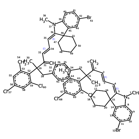 C=C(/C=C/C=C1/N(C)c2ccc(Br)cc2C12CCCCC2)C(C)(Cc1ccc(CC(C)(C(=C)/C=C/C=C2/N(C)c3ccc(Br)cc3C23CCCCC3)c2c(C)cc(Cl)cc2Cl)cc1)c1c(C)cc(Cl)cc1Cl